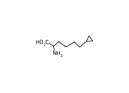 NC(CCCCC1CC1)C(=O)O